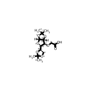 CC1(C)O[C@H]2O[C@H]([C@H]3COC(C)(C)O3)[C@H](OCC(=O)O)[C@H]2O1